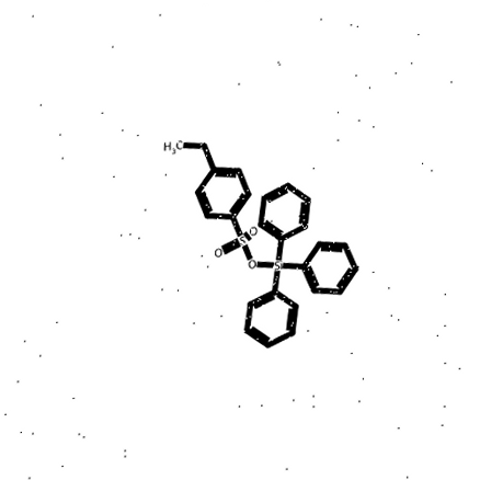 CCc1ccc(S(=O)(=O)O[Si](c2ccccc2)(c2ccccc2)c2ccccc2)cc1